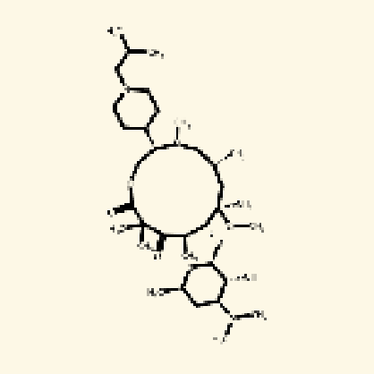 CO[C@]1(C)C[C@@H](C)CN(C)[C@H](C2CCN(CC(C)C)CC2)COC(=O)C(C)(C)C(=O)[C@H](C)[C@H]1O[C@@H]1O[C@H](C)C[C@H](N(C)C)[C@H]1O